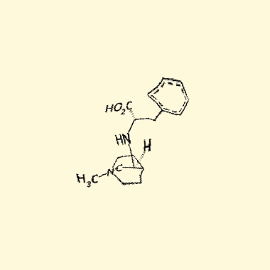 C[N+]12CCC(CC1)[C@H](N[C@@H](Cc1ccccc1)C(=O)O)C2